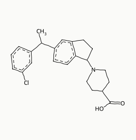 CC(c1cccc(Cl)c1)c1ccc2c(c1)CCC2N1CCC(C(=O)O)CC1